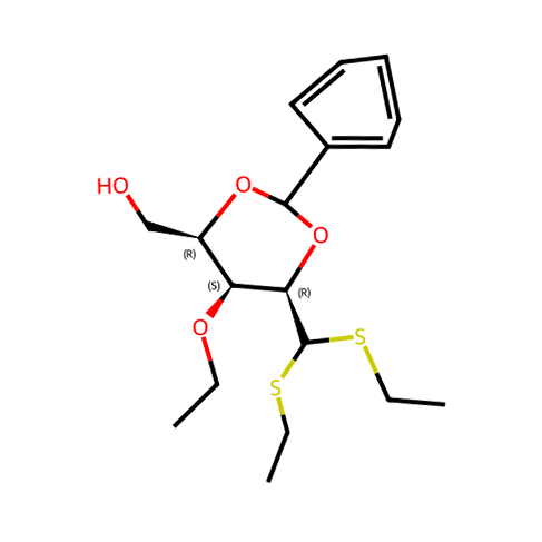 CCO[C@H]1[C@@H](CO)OC(c2ccccc2)O[C@H]1C(SCC)SCC